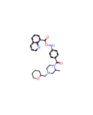 CC1CN(CC2CCCCO2)CCN1C(=O)c1ccc(NOC(=O)c2cccc3cccnc23)cc1